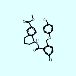 COC(=O)c1ccc2c(c1)CCCC2NC(=O)c1cc(Cl)ccc1COc1ccc(Cl)cc1